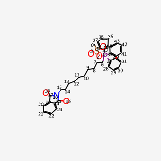 CS(=O)(=O)OP(CCCCCCCCCCN1C(=O)c2ccccc2C1=O)(c1ccccc1)(c1ccccc1)c1ccccc1